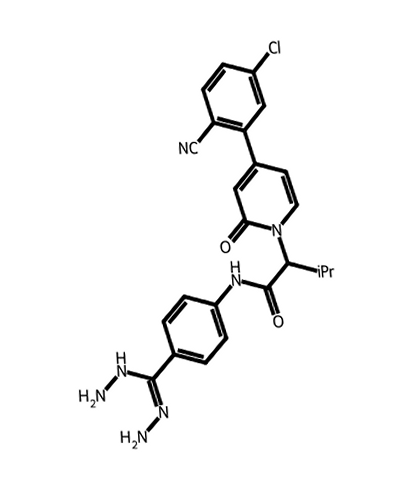 CC(C)C(C(=O)Nc1ccc(/C(=N/N)NN)cc1)n1ccc(-c2cc(Cl)ccc2C#N)cc1=O